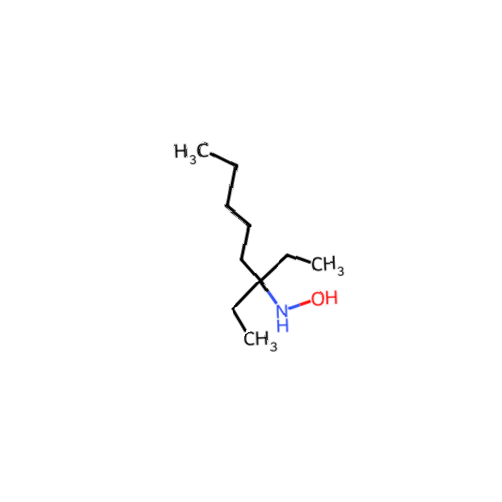 CCCCCC(CC)(CC)NO